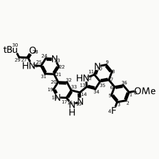 COc1cc(F)cc(-c2ccnc3[nH]c(-c4n[nH]c5ncc(-c6cncc(NC(=O)CC(C)(C)C)c6)cc45)cc23)c1